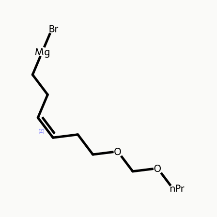 CCCOCOCC/C=C\C[CH2][Mg][Br]